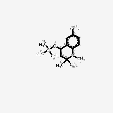 CN1c2ccc(N)cc2C(O[Si](C)(C)C)CC1(C)C